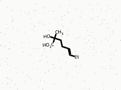 CC/C=C/CCC(C)(O)C(=O)O